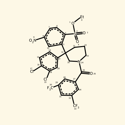 CCOS(=O)(=O)c1ccc([N+](=O)[O-])cc1C1(c2ccc(Cl)c(Cl)c2)CCCN(C(=O)c2cc(C(F)(F)F)cc(C(F)(F)F)c2)C1